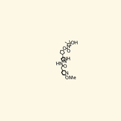 COc1ccc(CC(=O)Nc2cc([C@H]3CC[C@@H](OC(=O)N4C[C@@](C)(O)[C@@H]4C)C3)[nH]n2)cn1